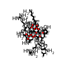 CC(C)C[C@H](NC(=O)[C@H](CCCNC(=N)N)NC(=O)[C@H](Cc1ccc(O)cc1)NC(=O)[C@H](CCCCN)NC(=O)[C@H](CC(=O)O)NC(=O)[C@@H](NC(=O)[C@H](Cc1c[nH]cn1)NC(=O)[C@H](CO)NC(=O)[C@H](CCCNC(=N)N)NC(=O)[C@H](CC(C)C)NC(=O)[C@@H](C)CCCCN)[C@@H](C)O)C(N)=O